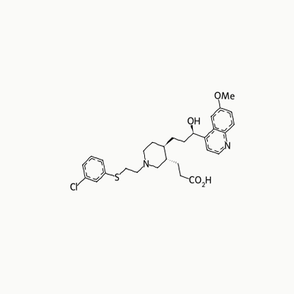 COc1ccc2nccc([C@H](O)CC[C@@H]3CCN(CCSc4cccc(Cl)c4)C[C@H]3CCC(=O)O)c2c1